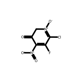 O=C1C[N+]([O-])=C(Cl)C(F)=C1[N+](=O)[O-]